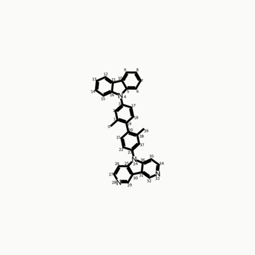 Cc1cc(-n2c3ccccc3c3ccccc32)ccc1-c1ccc(-n2c3ccncc3c3cnccc32)cc1C